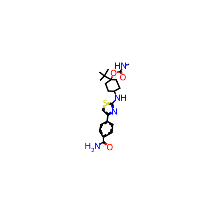 CNC(=O)OC1(C(C)(C)C)CCC(Nc2nc(-c3ccc(C(N)=O)cc3)cs2)CC1